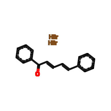 Br.Br.O=C(C=CC=Cc1ccccc1)c1ccccc1